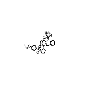 Cc1ccc(S(=O)(=O)N2CCC[C@H]2C(=O)N(Cc2ccccc2)[C@@H](Cc2c[nH]cn2)C(=O)O)cc1